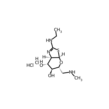 CCNC1=N[C@@H]2[C@@H](O)[C@H](O)[C@@H](CNC)O[C@@H]2S1.Cl.Cl